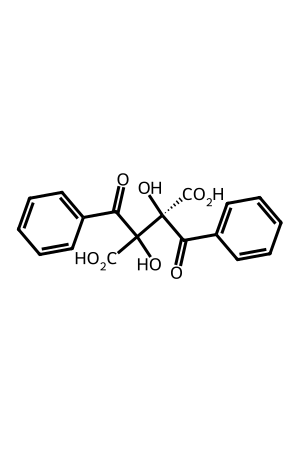 O=C(O)C(O)(C(=O)c1ccccc1)[C@](O)(C(=O)O)C(=O)c1ccccc1